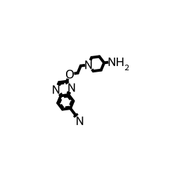 N#Cc1ccc2ncc(OCCN3CCC(N)CC3)nc2c1